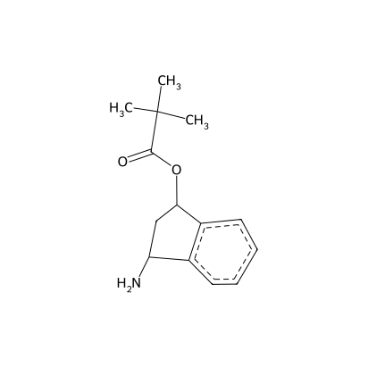 CC(C)(C)C(=O)OC1CC(N)c2ccccc21